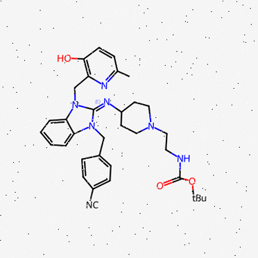 [C-]#[N+]c1ccc(Cn2/c(=N\C3CCN(CCNC(=O)OC(C)(C)C)CC3)n(Cc3nc(C)ccc3O)c3ccccc32)cc1